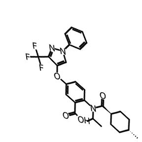 CC(C)N(c1ccc(Oc2cn(-c3ccccc3)nc2C(F)(F)F)cc1C(=O)O)C(=O)[C@H]1CC[C@H](C)CC1